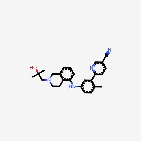 Cc1ccc(Nc2cccc3c2CCN(CC(C)(C)O)C3)cc1-c1ccc(C#N)cn1